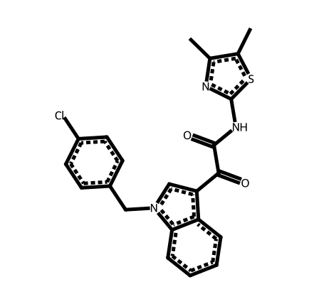 Cc1nc(NC(=O)C(=O)c2cn(Cc3ccc(Cl)cc3)c3ccccc23)sc1C